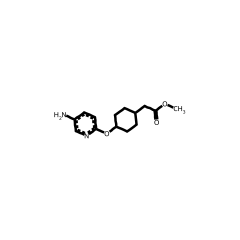 COC(=O)CC1CCC(Oc2ccc(N)cn2)CC1